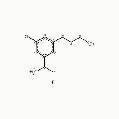 [CH2]C(CF)c1cc(Cl)cc(CCCC)c1